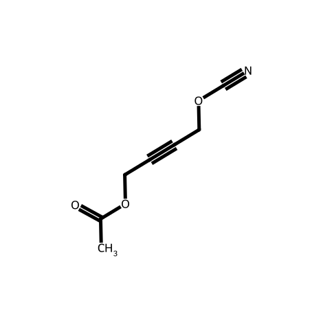 CC(=O)OCC#CCOC#N